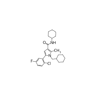 Cc1c(C(=O)NC2CCCCC2)cc(-c2cc(F)ccc2Cl)n1CC1CCCCC1